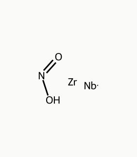 O=NO.[Nb].[Zr]